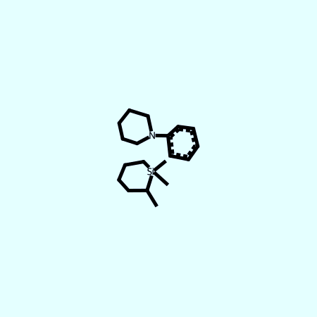 CC1CCCC[Si]1(C)C.c1ccc(N2CCCCC2)cc1